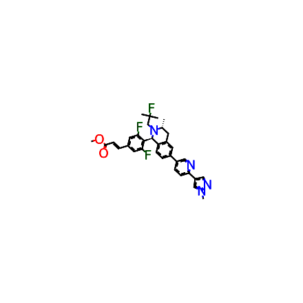 COC(=O)/C=C/c1cc(F)c([C@@H]2c3ccc(-c4ccc(-c5cnn(C)c5)nc4)cc3C[C@@H](C)N2CC(C)(C)F)c(F)c1